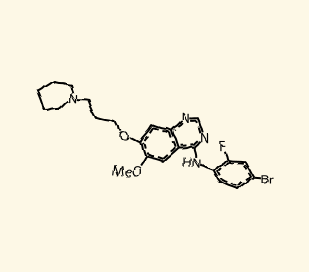 COc1cc2c(Nc3ccc(Br)cc3F)ncnc2cc1OCCCN1CCCCC1